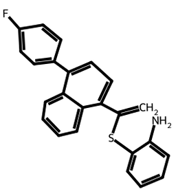 C=C(Sc1ccccc1N)c1ccc(-c2ccc(F)cc2)c2ccccc12